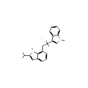 CC(C)c1cc2cccc(CC(C)(C)c3cn(C)c4ccccc34)c2n1C